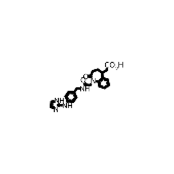 O=C(O)CC1CCC(=O)N(CC(=O)NCc2ccc(Nc3ncc[nH]3)cc2)c2ccccc21